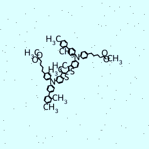 COC(=O)CCCCc1ccc(N(c2ccc(-c3ccc(C)cc3C)cc2)c2ccc3sc(-c4sc5ccc(N(c6ccc(CCCCC(=O)OC)cc6)c6ccc(-c7ccc(C)cc7C)cc6)cc5c4C)c(C)c3c2)cc1